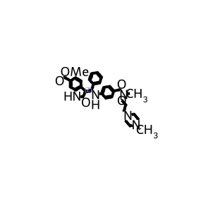 COC(=O)c1ccc2c(c1)NC(=O)/C2=C(\Nc1ccc(C(=O)N(C)OCCN2CCN(C)CC2)cc1)c1ccccc1